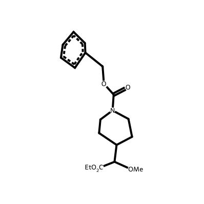 CCOC(=O)C(OC)C1CCN(C(=O)OCc2ccccc2)CC1